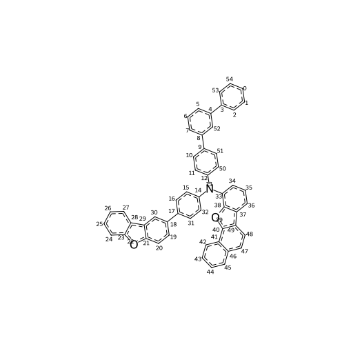 c1ccc(-c2cccc(-c3ccc(N(c4ccc(-c5ccc6oc7ccccc7c6c5)cc4)c4cccc5c4oc4c6ccccc6ccc54)cc3)c2)cc1